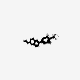 CCCC1CCc2cc(-c3cc(F)c(C(N)=O)c(F)c3)ccc2C1